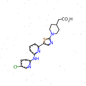 O=C(O)CC1CCN(c2ncc(-c3cccc(Nc4ccc(Cl)cn4)n3)s2)CC1